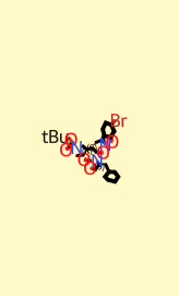 CC(C)(C)OC(=O)N1CC[C@H]([C@H](Cc2noc3cc(Br)ccc23)C(=O)N2C(=O)OC[C@@H]2Cc2ccccc2)C1